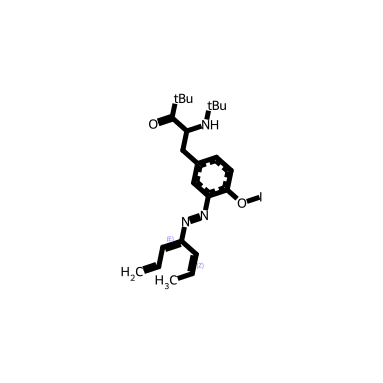 C=C/C=C(\C=C/C)N=Nc1cc(CC(NC(C)(C)C)C(=O)C(C)(C)C)ccc1OI